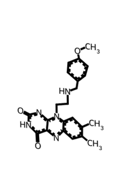 COc1ccc(CNCCn2c3nc(=O)[nH]c(=O)c-3nc3cc(C)c(C)cc32)cc1